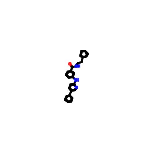 O=C(NCCc1ccccc1)c1cccc(Nc2ccc(-c3ccccc3)cn2)c1